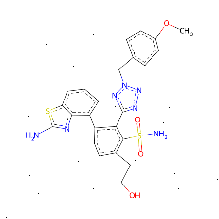 COc1ccc(Cn2nnc(-c3c(-c4cccc5sc(N)nc45)ccc(CCO)c3S(N)(=O)=O)n2)cc1